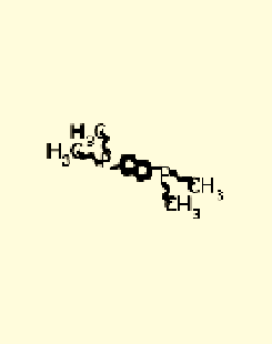 CCCCP(CCCC)Cc1ccc2cc(CP(CCCC)CCCC)ccc2c1